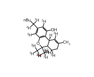 [2H]C1=C(C)CC([2H])([2H])[C@]2([2H])[C@@H]1c1c(O)c([2H])c(C([2H])([2H])CCCC)c([2H])c1OC2(C([2H])([2H])[2H])C([2H])([2H])[2H]